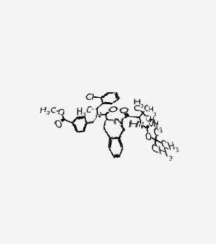 COC(=O)c1ccc(CN(C(=O)C2Cc3ccccc3CN2C(=O)C(NC(=O)OC(C)(C)C)C(C)(C)C)[C@H](C)c2ccccc2Cl)cc1